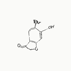 O=C1COc2cc(O)c(Br)cc21